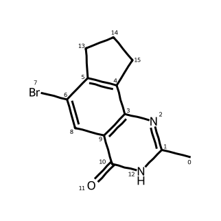 Cc1nc2c3c(c(Br)cc2c(=O)[nH]1)CCC3